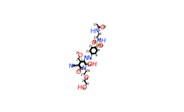 COCc1c(/N=N/c2ccc(S(=O)(=O)NCCNC(C)=O)cc2)c(O)n(CCOCCO)c(=O)c1C#N